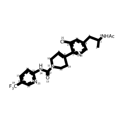 CC(=O)NC(C)Cc1cnc(C2=CCN(C(=O)Nc3ccc(C(F)(F)F)cn3)CC2)c(Cl)c1